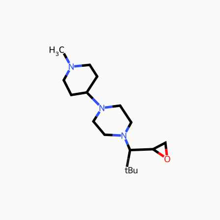 CN1CCC(N2CCN(C(C3CO3)C(C)(C)C)CC2)CC1